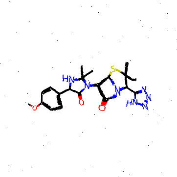 COc1ccc(C2NC(C)(C)N(C3C(=O)N4C3SC(C)(C)C4c3nnn[nH]3)C2=O)cc1